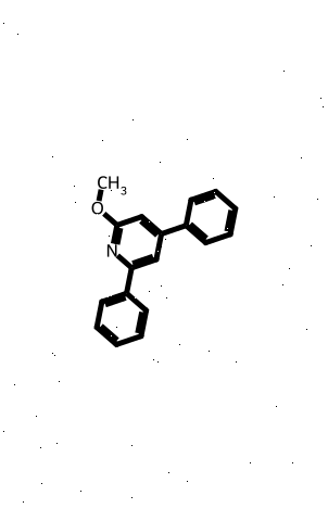 COc1cc(-c2ccccc2)cc(-c2ccccc2)n1